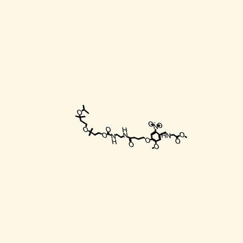 COC(=O)CNCc1cc(OC)c(OCCCC(=O)NCCNC(=O)OCCC(C)(C)OCCC(C)(C)OC(C)C)cc1[N+](=O)[O-]